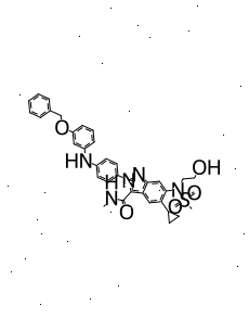 CNC(=O)c1c2cc(C3CC3)c(N(CCO)S(C)(=O)=O)cc2nn1-c1ccc(Nc2cccc(OCc3ccccc3)c2)cc1